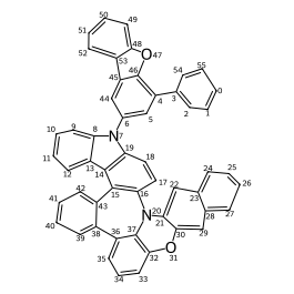 c1ccc(-c2cc(-n3c4ccccc4c4c5c(ccc43)N3c4cc6ccccc6cc4Oc4cccc(c43)-c3ccccc3-5)cc3c2oc2ccccc23)cc1